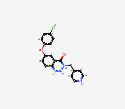 O=c1c2cc(Oc3ccc(Cl)cc3)ccc2nnn1Cc1ccncc1